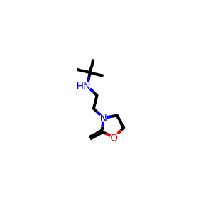 C=C1OCCN1CCNC(C)(C)C